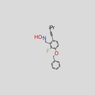 CC(C)C#Cc1ccc(OCc2ccccc2)c(F)c1/C=N/O